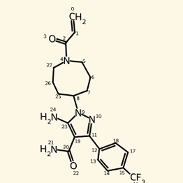 C=CC(=O)N1CCCC(n2nc(-c3ccc(C(F)(F)F)cc3)c(C(N)=O)c2N)CCC1